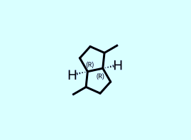 CC1CC[C@@H]2C(C)CC[C@H]12